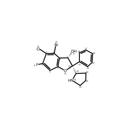 O[C@H]1c2c(cc(F)c(Cl)c2Br)O[C@@]1(c1ccccc1)C1CCCN1